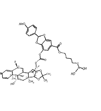 COc1ccc(C2Oc3cc(C(=O)OCCCCON(O)O)cc(OC(=O)OCC(=O)[C@@]45OC(C)(C)O[C@@H]4CC4C6C[C@H](F)C7=CC(=O)C=C[C@]7(C)[C@@]6(F)[C@@H](O)C[C@@]45C)c3O2)cc1